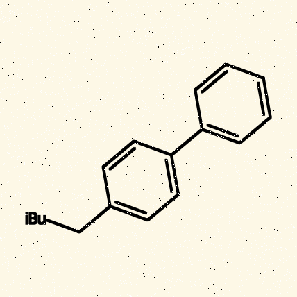 CCC(C)Cc1ccc(-c2ccccc2)cc1